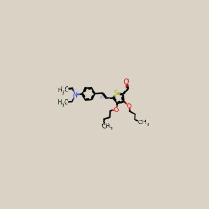 CCCCOc1c(C=O)sc(/C=C/c2ccc(N(CC)CC)cc2)c1OCCCC